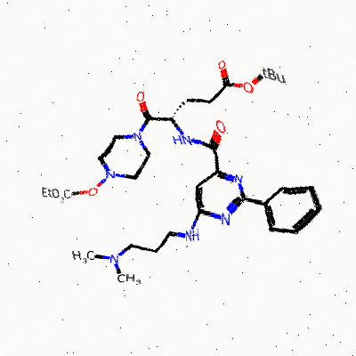 CCOC(=O)ON1CCN(C(=O)[C@H](CCC(=O)OC(C)(C)C)NC(=O)c2cc(NCCCN(C)C)nc(-c3ccccc3)n2)CC1